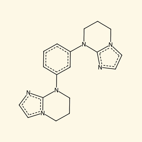 c1cc(N2CCCn3ccnc32)cc(N2CCCn3ccnc32)c1